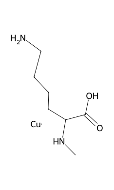 CNC(CCCCN)C(=O)O.[Cu]